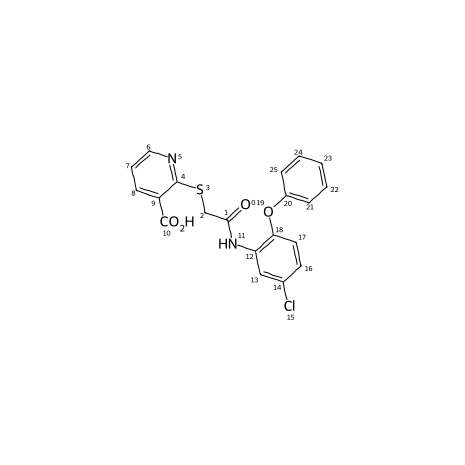 O=C(CSc1ncccc1C(=O)O)Nc1cc(Cl)ccc1Oc1ccccc1